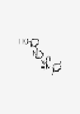 Cc1ccc(C)c(NC(=O)Nc2ccc(-c3cccc(O)c3)nc2)c1